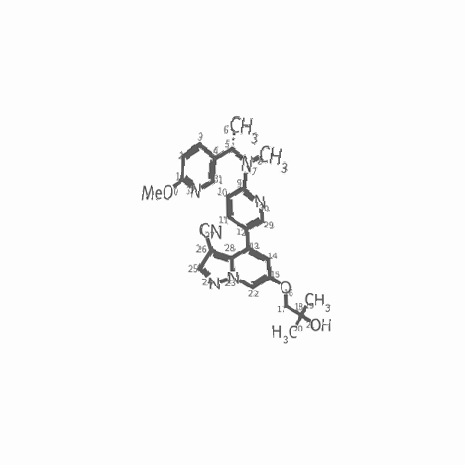 COc1ccc([C@H](C)N(C)c2ccc(-c3cc(OCC(C)(C)O)cn4ncc(C#N)c34)cn2)cn1